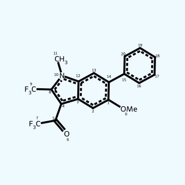 COc1cc2c(C(=O)C(F)(F)F)c(C(F)(F)F)n(C)c2cc1-c1ccccc1